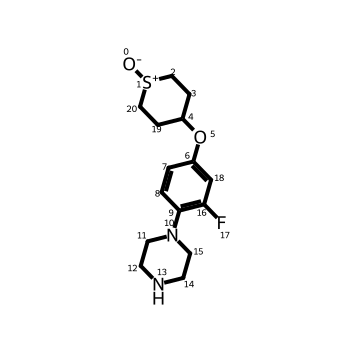 [O-][S+]1CCC(Oc2ccc(N3CCNCC3)c(F)c2)CC1